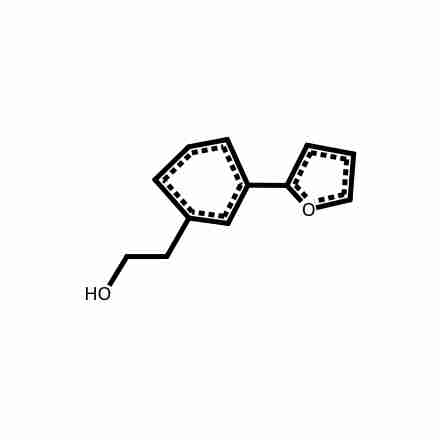 OCCc1cccc(-c2ccco2)c1